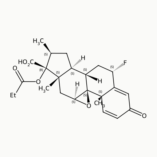 CCC(=O)O[C@]1(C(=O)O)[C@@H](C)C[C@H]2[C@@H]3C[C@H](F)C4=CC(=O)C=C[C@]4(C)[C@@]34O[C@H]4C[C@@]21C